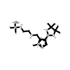 Cn1ncc(B2OC(C)(C)C(C)(C)O2)c1COCCO[Si](C)(C)C(C)(C)C